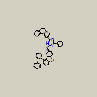 C1=Cc2oc3cccc(-c4ccccc4-c4ccccc4)c3c2C/C1=C/c1nc(-c2ccccc2)nc(-c2ccc3ccc4ccccc4c3c2)n1